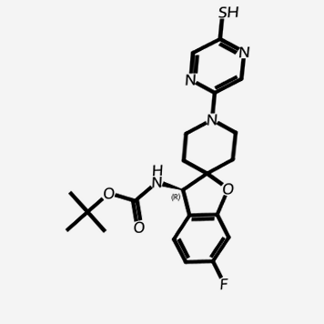 CC(C)(C)OC(=O)N[C@@H]1c2ccc(F)cc2OC12CCN(c1cnc(S)cn1)CC2